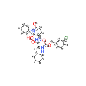 O=C(N[C@H](CC1CCCCC1)C(=O)N[C@@H]1CCC(=O)N(c2ccccc2)C1O)OCc1cccc(Cl)c1